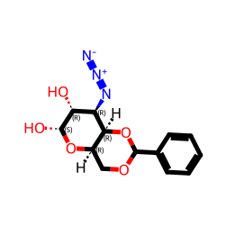 [N-]=[N+]=N[C@@H]1[C@@H](O)[C@@H](O)O[C@@H]2COC(c3ccccc3)O[C@H]12